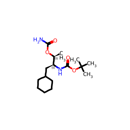 C[C@H](OC(N)=O)[C@H](CC1CCCCC1)NC(=O)OC(C)(C)C